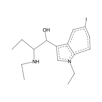 CCNC(CC)C(O)c1cn(CC)c2ccc(I)cc12